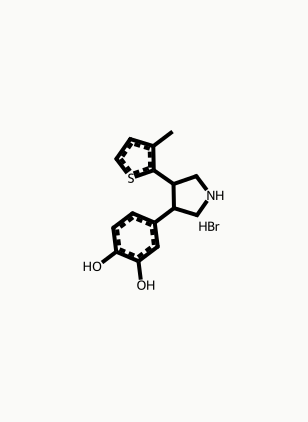 Br.Cc1ccsc1C1CNCC1c1ccc(O)c(O)c1